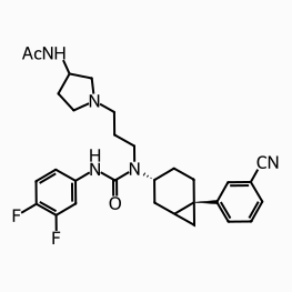 CC(=O)NC1CCN(CCCN(C(=O)Nc2ccc(F)c(F)c2)[C@@H]2CC[C@]3(c4cccc(C#N)c4)CC3C2)C1